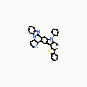 c1ccc(-n2c3cc4c(cc3c3c5sc6ccccc6c5ccc32)c2ncccc2n2c3ccccc3nc42)cc1